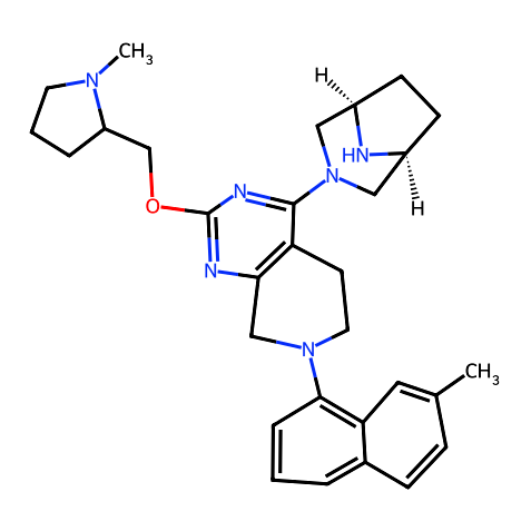 Cc1ccc2cccc(N3CCc4c(nc(OCC5CCCN5C)nc4N4C[C@H]5CC[C@@H](C4)N5)C3)c2c1